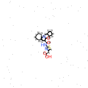 O=C(O)Cc1csc(NC(=O)c2cc3c(n(Cc4ccccc4)c2=O)CCCCCC3)n1